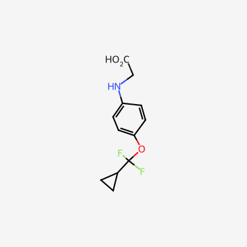 O=C(O)CNc1ccc(OC(F)(F)C2CC2)cc1